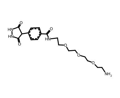 NCCOCCOCCOCCNC(=O)c1ccc(C2C(=O)NNC2=O)cc1